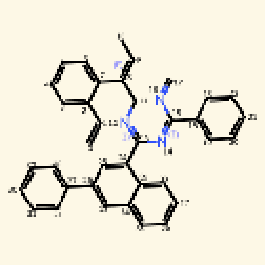 C=Cc1ccccc1/C(=C\C)C/N=C(\N=C(/N=C)c1ccccc1)c1cc(-c2ccccc2)cc2ccccc12